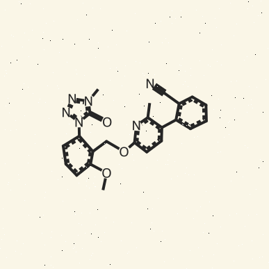 COc1cccc(-n2nnn(C)c2=O)c1COc1ccc(-c2ccccc2C#N)c(C)n1